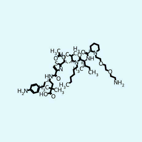 CCCCCCN(C(=O)[C@@H](NC(=O)[C@H]1CCCCN1CCOCCOCCN)[C@@H](C)CC)[C@H](C[C@@H](OC(C)=O)c1nc(C(=O)N[C@@H](CCc2ccc(N)cc2)CC(C)(C)C(=O)O)cs1)C(C)C